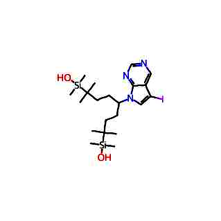 CC(C)(CCC(CCC(C)(C)[Si](C)(C)O)n1cc(I)c2cncnc21)[Si](C)(C)O